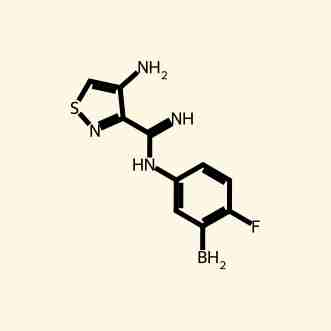 Bc1cc(NC(=N)c2nscc2N)ccc1F